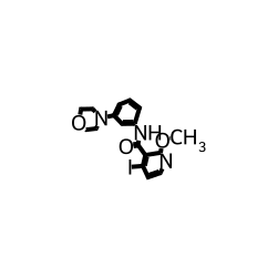 COc1nccc(I)c1C(=O)Nc1cccc(N2CCOCC2)c1